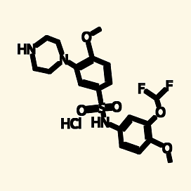 COc1ccc(NS(=O)(=O)c2ccc(OC)c(N3CCNCC3)c2)cc1OC(F)F.Cl